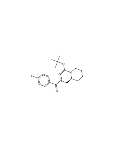 CC(C)(C)OC(=O)N1CCCC[C@H]1CNC(=O)c1ccc(F)cc1